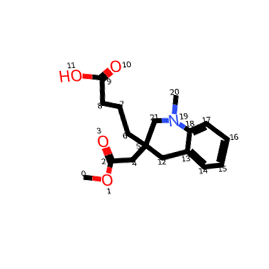 COC(=O)CC1(CCCC(=O)O)Cc2ccccc2N(C)C1